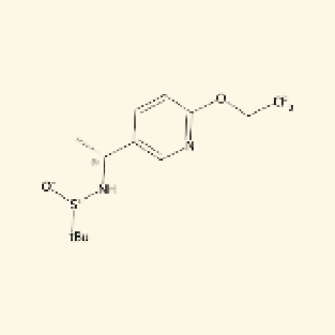 C[C@@H](N[S+]([O-])C(C)(C)C)c1ccc(OCC(F)(F)F)nc1